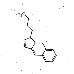 CCCC[C]1C=Cc2cc3ccccc3cc21